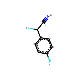 N#CC(F)c1ccc(F)cc1